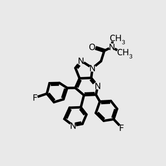 CN(C)C(=O)Cn1ncc2c(-c3ccc(F)cc3)c(-c3ccncc3)c(-c3ccc(F)cc3)nc21